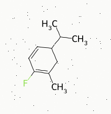 CC1=C(F)C=CC(C(C)C)C1